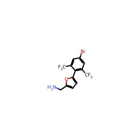 NCc1ccc(-c2c(C(F)(F)F)cc(Br)cc2C(F)(F)F)o1